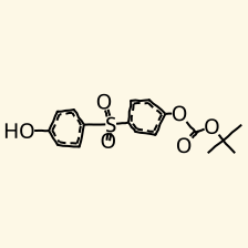 CC(C)(C)OC(=O)Oc1ccc(S(=O)(=O)c2ccc(O)cc2)cc1